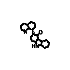 O=c1c2c(ccn1-c1cccc3cccnc13)[nH]c1ccccc12